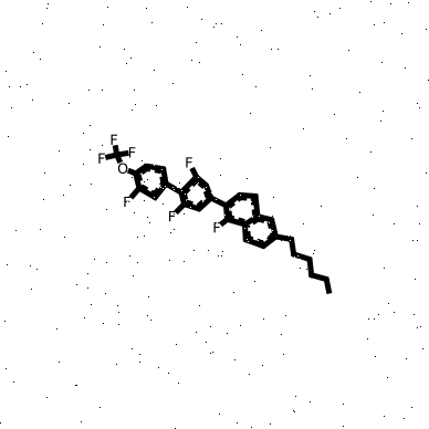 CCCCCCc1ccc2c(F)c(-c3cc(F)c(-c4ccc(OC(F)(F)F)c(F)c4)c(F)c3)ccc2c1